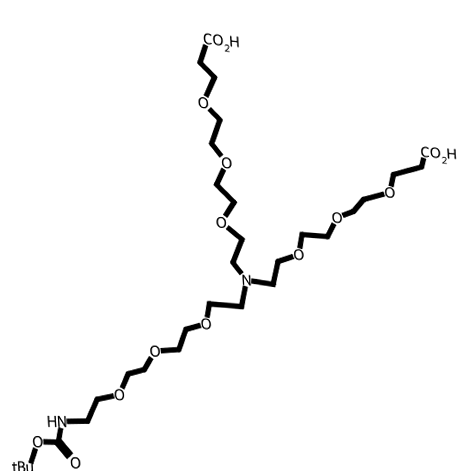 CC(C)(C)OC(=O)NCCOCCOCCOCCN(CCOCCOCCOCCC(=O)O)CCOCCOCCOCCC(=O)O